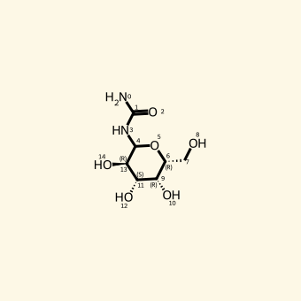 NC(=O)NC1O[C@H](CO)[C@H](O)[C@H](O)[C@H]1O